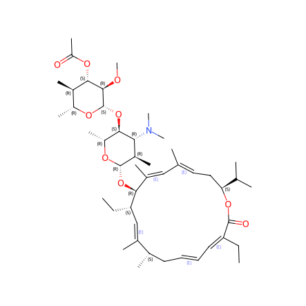 CC/C1=C\C=C\C[C@H](C)/C(C)=C/[C@H](CC)[C@@H](O[C@@H]2O[C@H](C)[C@@H](O[C@@H]3O[C@H](C)[C@@H](C)[C@H](OC(C)=O)[C@H]3OC)[C@H](N(C)C)[C@H]2C)/C(C)=C/C(C)=C/C[C@@H](C(C)C)OC1=O